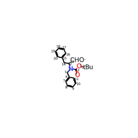 CC(C)(C)OC(=O)N(Cc1ccccc1)[C@H]([C]=O)Cc1ccccc1